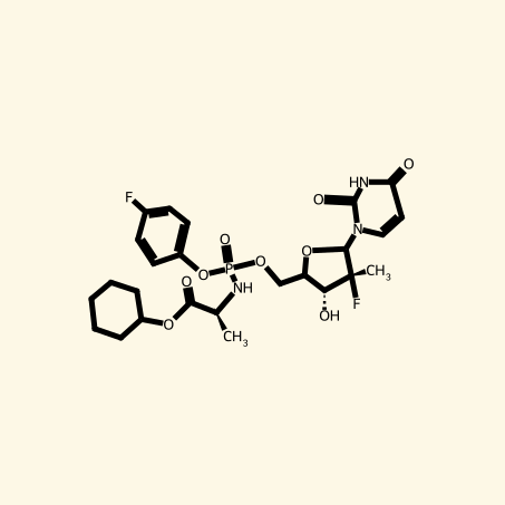 C[C@H](NP(=O)(OCC1OC(n2ccc(=O)[nH]c2=O)[C@](C)(F)[C@@H]1O)Oc1ccc(F)cc1)C(=O)OC1CCCCC1